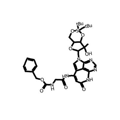 CC1(O)C2O[Si](C(C)(C)C)(C(C)(C)C)OCC2OC1n1cc2c3c(ncnc31)NC(=O)C=C2NC(=O)CNC(=O)OCc1ccccc1